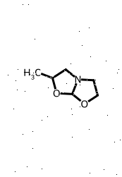 CC1CN2CCOC2O1